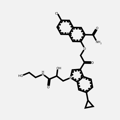 NC(=O)c1cc2cc(Cl)ccc2cc1OCC(=O)c1cn(CC(O)C(=O)NCCO)c2cc(C3CC3)ccc12